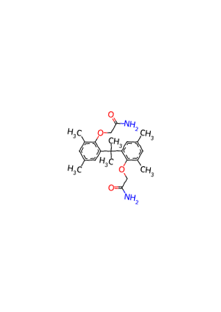 Cc1cc(C)c(OCC(N)=O)c(C(C)(C)c2cc(C)cc(C)c2OCC(N)=O)c1